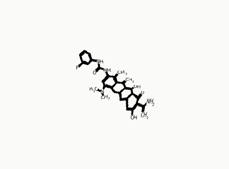 C=C(N)C1=C(O)CC2CC3Cc4c(N(C)C)cc(NC(=O)Nc5cccc(F)c5)c(C)c4C(=C)C3=C(O)C2C1=O